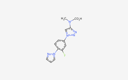 CN(C(=O)O)c1cn(-c2ccc(-n3cccn3)c(F)c2)nn1